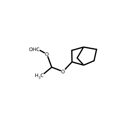 CC(OC=O)OC1CC2CCC1C2